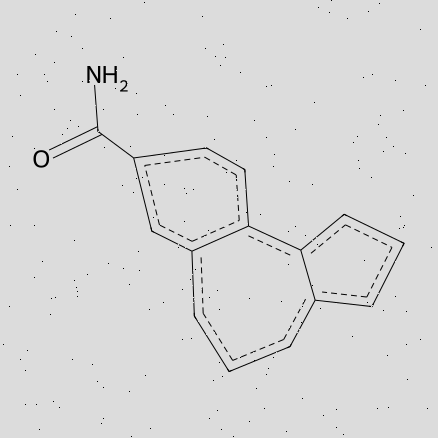 NC(=O)c1ccc2c3cccc-3cccc2c1